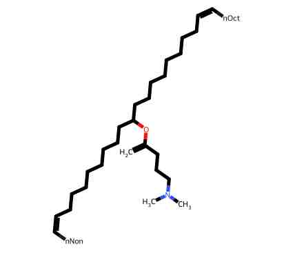 C=C(CCCN(C)C)OC(CCCCCCCC/C=C\CCCCCCCC)CCCCCCCC/C=C\CCCCCCCCC